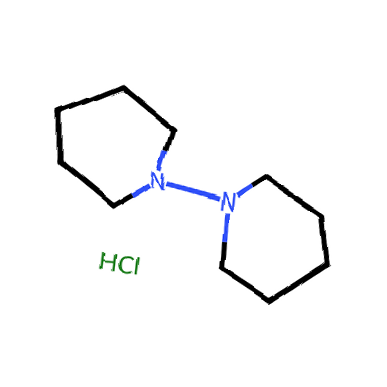 C1CCN(N2CCCCC2)CC1.Cl